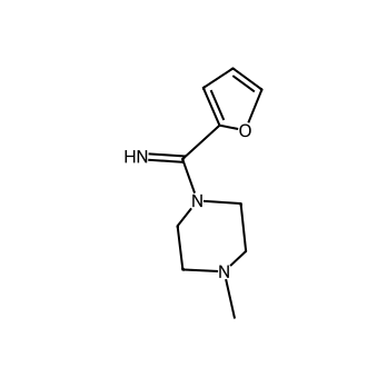 CN1CCN(C(=N)c2ccco2)CC1